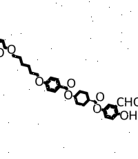 C=CC(=O)OCCCCCCOc1ccc(C(=O)O[C@H]2CC[C@H](C(=O)Oc3ccc(O)c(C=O)c3)CC2)cc1